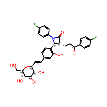 O=C1[C@H](CC[C@H](O)c2ccc(F)cc2)[C@@H](c2ccc(/C=C/[C@@H]3O[C@H](CO)[C@@H](O)[C@H](O)[C@H]3O)cc2O)N1c1ccc(F)cc1